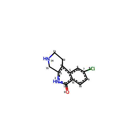 O=c1[nH]c2c(c3cc(Cl)ccc13)CCNC2